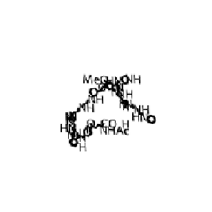 COc1cc2c(NC3CCNCC3)nc(NCc3cn(CCNCCNC4CCCCC4)nn3)nc2cc1OCC1CCCC(NCCCNCCCn2cc(CNc3nc(NC4CCN(C(=O)CC[C@H](NC(C)=O)C(=O)O)CC4)c4ccccc4n3)nn2)C1